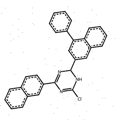 ClC1=NC(c2ccc3ccccc3c2)=NC(c2cc(-c3ccccc3)c3ccccc3c2)N1